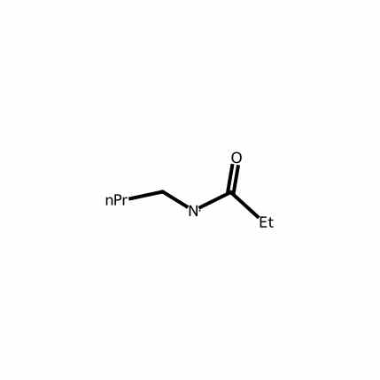 CCCC[N]C(=O)CC